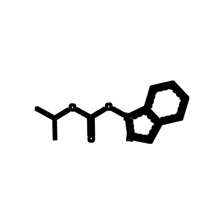 CC(C)OC(=O)On1ncc2ccccc21